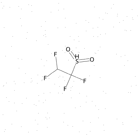 O=[SH](=O)C(F)(F)C(F)F